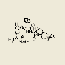 CNC(=O)N(C)C(=O)CC(C)ON=C(C(=O)N[C@@H]1C(=O)N2C(C(=O)O)=C(COC(C)=O)CS[C@H]12)c1ccco1